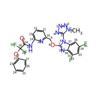 Cn1nnnc1-n1c(OCc2cccc(NC(=O)C(F)(F)Oc3ccccc3)n2)nc2c(F)cc(F)cc21